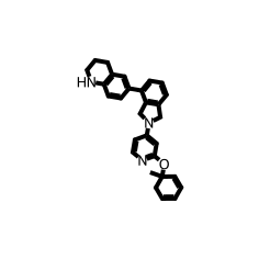 CC1(Oc2cc(N3Cc4cccc(-c5ccc6c(c5)CCCN6)c4C3)ccn2)C=CC=CC1